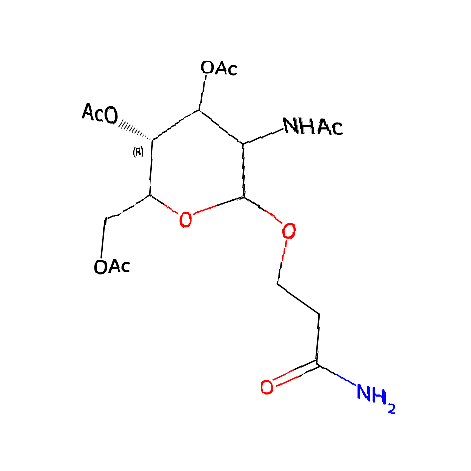 CC(=O)NC1C(OCCC(N)=O)OC(COC(C)=O)[C@H](OC(C)=O)C1OC(C)=O